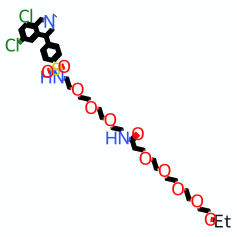 CCOCCOCCOCCOCCOCCC(=O)NCCOCCOCCOCCNS(=O)(=O)c1ccc(C2CN(C)Cc3c(Cl)cc(Cl)cc32)cc1